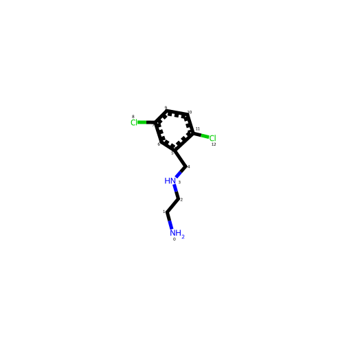 NCCNCc1cc(Cl)ccc1Cl